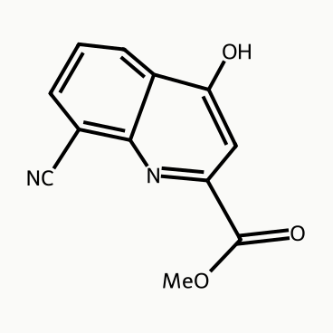 COC(=O)c1cc(O)c2cccc(C#N)c2n1